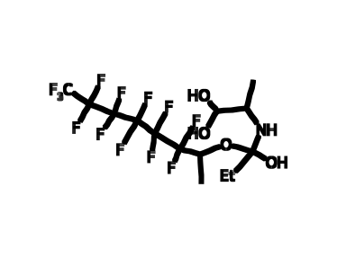 CCC(O)(NC(C)C(O)O)OC(C)C(F)(F)C(F)(F)C(F)(F)C(F)(F)C(F)(F)C(F)(F)F